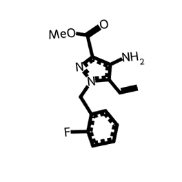 C=Cc1c(N)c(C(=O)OC)nn1Cc1ccccc1F